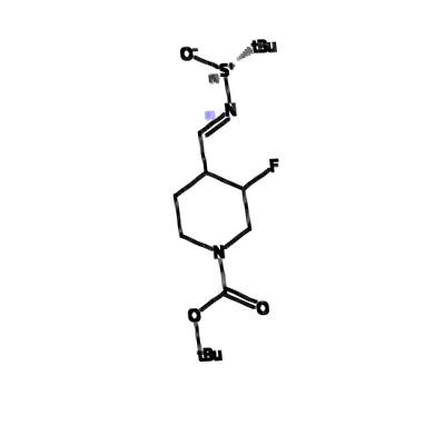 CC(C)(C)OC(=O)N1CCC(/C=N/[S@+]([O-])C(C)(C)C)C(F)C1